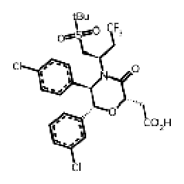 CC(C)(C)S(=O)(=O)C[C@@H](CC(F)(F)F)N1C(=O)[C@H](CC(=O)O)O[C@H](c2cccc(Cl)c2)[C@H]1c1ccc(Cl)cc1